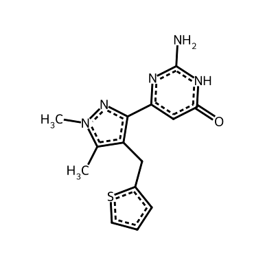 Cc1c(Cc2cccs2)c(-c2cc(=O)[nH]c(N)n2)nn1C